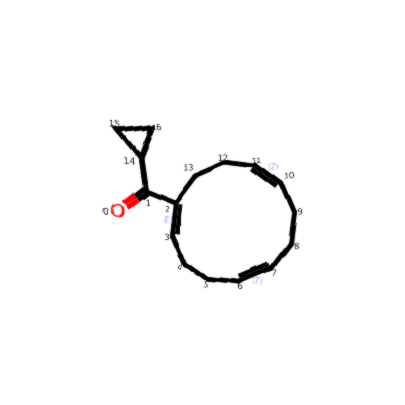 O=C(/C1=C/CC/C=C\CC/C=C\CC1)C1CC1